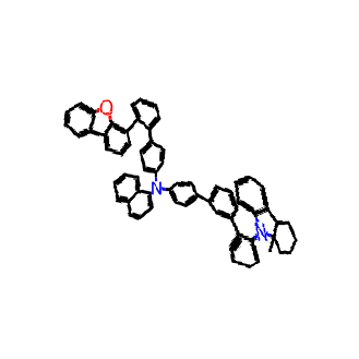 CC12CCCCC1c1ccccc1N2C1=CCCC=C1c1cccc(-c2ccc(N(c3ccc(-c4ccccc4-c4cccc5c4oc4ccccc45)cc3)c3cccc4ccccc34)cc2)c1